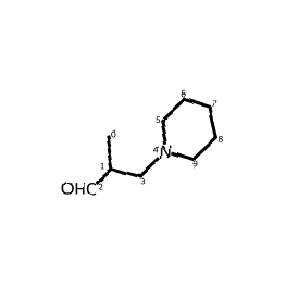 CC(C=O)CN1CCCCC1